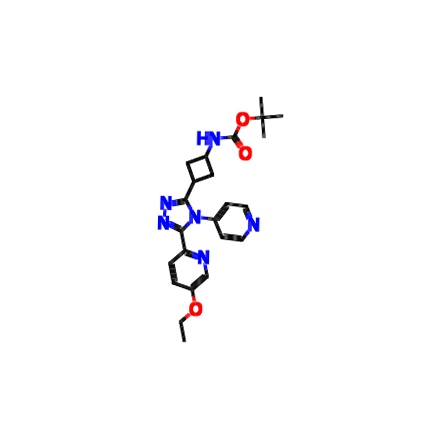 CCOc1ccc(-c2nnc(C3CC(NC(=O)OC(C)(C)C)C3)n2-c2ccncc2)nc1